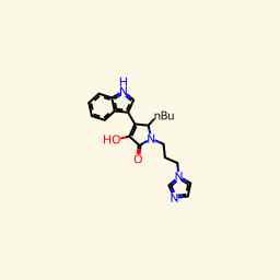 CCCCC1C(c2c[nH]c3ccccc23)=C(O)C(=O)N1CCCn1ccnc1